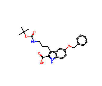 CC(C)(C)OC(=O)NCCCc1c(C(=O)O)[nH]c2ccc(OCc3ccccc3)cc12